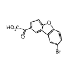 O=C(O)C(=O)c1ccc2oc3ccc(Br)cc3c2c1